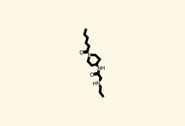 CCCCCC(=O)N1CCC(NC(=O)CNCCC)CC1